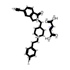 N#Cc1ccc2c(c1)CN(CC1CCN(CCc3ccc(F)cc3)CC1)C2=O.O=C(O)/C=C/C(=O)O